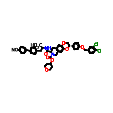 N#Cc1ccc(-c2ccc(C[C@H](NC(=O)C3Cc4cc5c(cc4CN3C(=O)OC3CCOCC3)O[C@@H](c3ccc(OCc4ccc(Cl)c(Cl)c4)cc3)CO5)C(=O)O)cc2)cc1